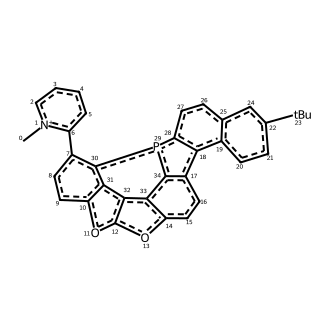 C[n+]1ccccc1-c1ccc2oc3oc4ccc5c6c7ccc(C(C)(C)C)cc7ccc6p6c1c2c3c4c56